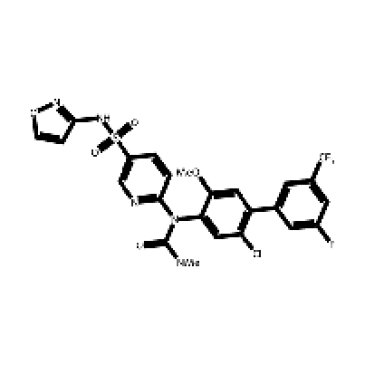 CNC(=O)N(c1ccc(S(=O)(=O)Nc2ccon2)cn1)c1cc(Cl)c(-c2cc(F)cc(C(F)(F)F)c2)cc1OC